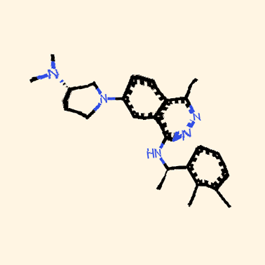 Cc1cccc([C@@H](C)Nc2nnc(C)c3ccc(N4CC[C@H](N(C)C)C4)cc23)c1C